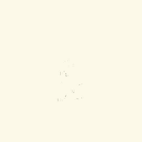 CC(=O)N1c2ccccc2[C@H](NC(=O)OCc2ccccc2)[C@@H](C)[C@@H]1O